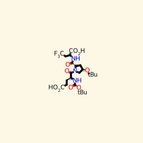 CC(C)(C)OC(=O)N[C@@H](CCC(=O)O)C(=O)N1C[C@H](OC(C)(C)C)C[C@H]1C(=O)NC(CC(F)(F)F)C(=O)O